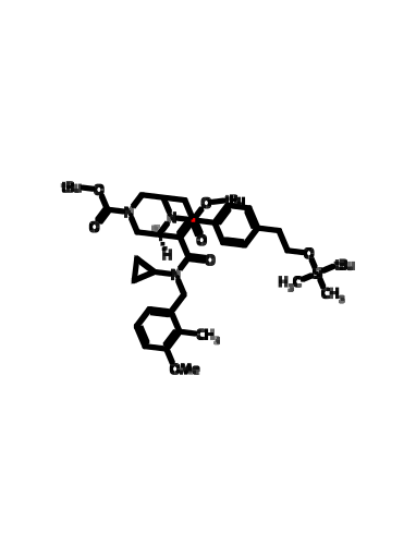 COc1cccc(CN(C(=O)C2=C(c3ccc(CCO[Si](C)(C)C(C)(C)C)cc3)CC3CN(C(=O)OC(C)(C)C)C[C@H]2N3C(=O)OC(C)(C)C)C2CC2)c1C